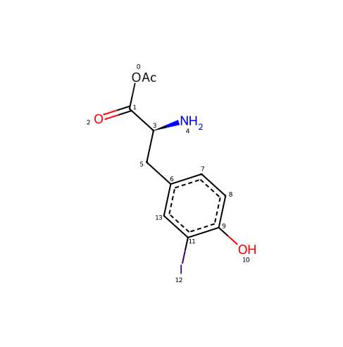 CC(=O)OC(=O)[C@@H](N)Cc1ccc(O)c(I)c1